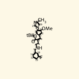 COc1cc(C=C(CCNCc2cccc(F)c2)C(=O)OC(C)(C)C)ccc1-n1cnc(C)c1